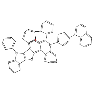 c1ccc(-n2c3ccccc3c3oc4c(-c5ccccc5N(c5ccc(-c6cccc7ccccc67)cc5)c5cc6ccccc6c6ccccc56)cccc4c32)cc1